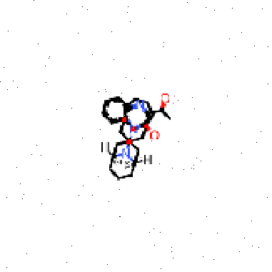 CC(=O)c1nc2ccccc2n([C@H]2C[C@H]3CCC[C@@H](C2)N3C2CC3CCCCC(C3)C2)c1=O